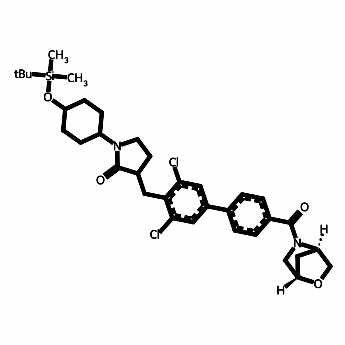 CC(C)(C)[Si](C)(C)OC1CCC(N2CCC(Cc3c(Cl)cc(-c4ccc(C(=O)N5C[C@@H]6C[C@@H]5CO6)cc4)cc3Cl)C2=O)CC1